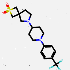 O=S1(=O)CC2(CCN(C3CCN(c4ccc(C(F)(F)F)cc4)CC3)C2)C1